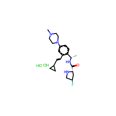 C[C@H](NC(=O)[C@@H]1C[C@@H](F)CN1)c1ccc(N2CCN(C)CC2)cc1/C=C/C1CC1.Cl.Cl